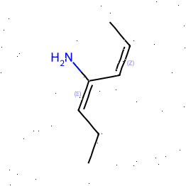 C/C=C\C(N)=C/CC